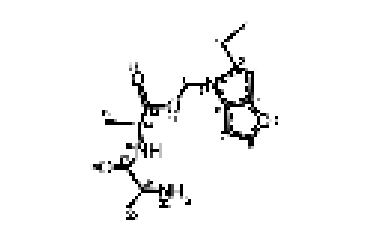 CCc1cc2occc2n1COC(=O)[C@H](C)NC(=O)[C@H](C)N